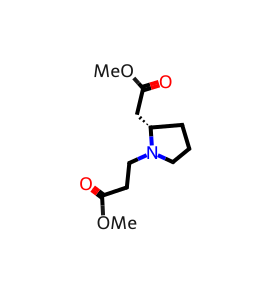 COC(=O)CCN1CCC[C@H]1CC(=O)OC